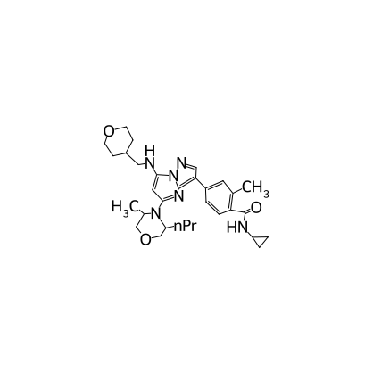 CCCC1COCC(C)N1c1cc(NCC2CCOCC2)n2ncc(-c3ccc(C(=O)NC4CC4)c(C)c3)c2n1